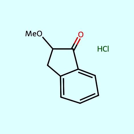 COC1Cc2ccccc2C1=O.Cl